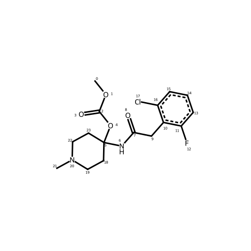 COC(=O)OC1(NC(=O)Cc2c(F)cccc2Cl)CCN(C)CC1